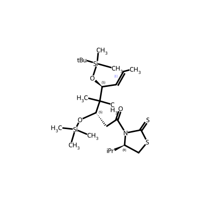 C/C=C/[C@H](O[Si](C)(C)C(C)(C)C)C(C)(C)[C@H](CC(=O)N1C(=S)SC[C@H]1C(C)C)O[Si](C)(C)C